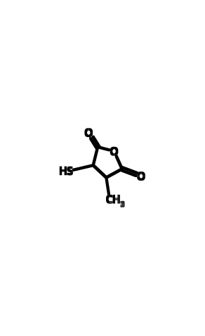 CC1C(=O)OC(=O)C1S